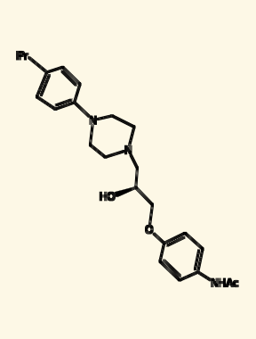 CC(=O)Nc1ccc(OC[C@@H](O)CN2CCN(c3ccc(C(C)C)cc3)CC2)cc1